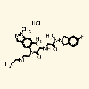 CCNCCN(C(=O)CNCC(=O)N(C)N1Cc2ccc(F)cc2C1)c1cc2cnn(C)c2cc1C.Cl